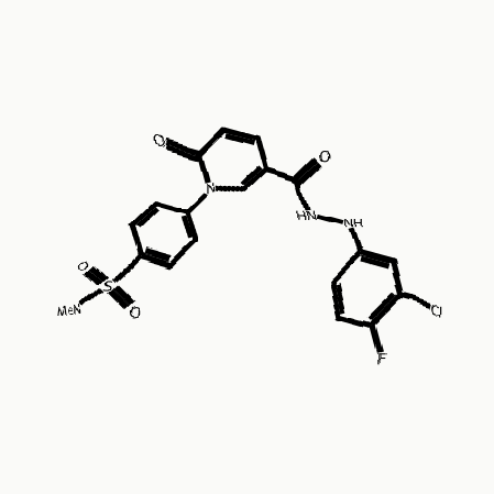 CNS(=O)(=O)c1ccc(-n2cc(C(=O)NNc3ccc(F)c(Cl)c3)ccc2=O)cc1